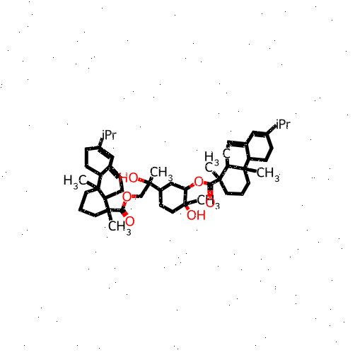 CC(C)C1=CC2=CCC3C(C)(C(=O)OCC(C)(O)C4CCC(C)(O)C(OC(=O)C5(C)CCCC6(C)C7CCC(C(C)C)=CC7=CCC56)C4)CCCC3(C)C2CC1